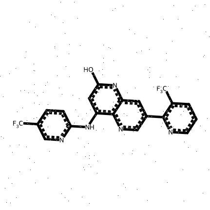 Oc1cc(Nc2ccc(C(F)(F)F)cn2)c2ncc(-c3ncccc3C(F)(F)F)cc2n1